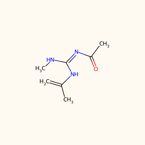 C=C(C)N/C(=N\C(C)=O)NC